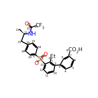 CCc1c(-c2cccc(C(=O)O)c2)cccc1S(=O)(=O)c1ccc(C[C@@H](C)NC(=O)C(F)(F)F)cc1